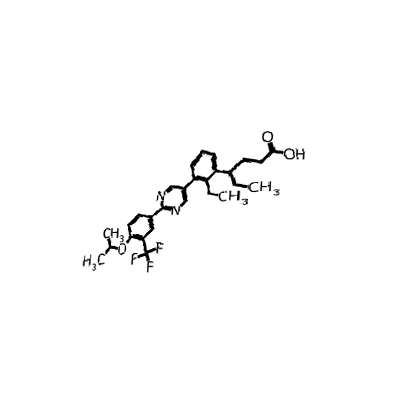 CCc1c(-c2cnc(-c3ccc(OC(C)C)c(C(F)(F)F)c3)nc2)cccc1C(CC)CCC(=O)O